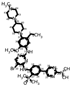 CCc1cc(Nc2ncc(Br)c(Nc3ccc(-c4cnc(N(C)C)nc4)cc3P(C)(C)=O)n2)c(OC)cc1N1CCC(N2CCN(C)CC2)CC1